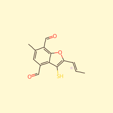 C/C=C/c1oc2c(C=O)c(C)cc(C=O)c2c1S